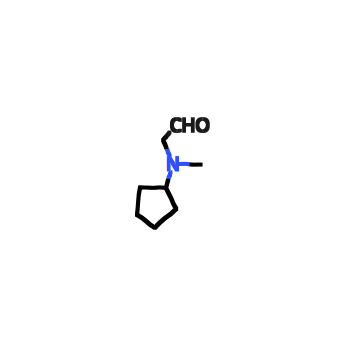 CN(CC=O)C1CCCC1